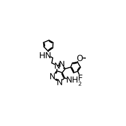 COc1cc(F)cc(-c2nn(CCNc3ccccc3)c3ncnc(N)c23)c1